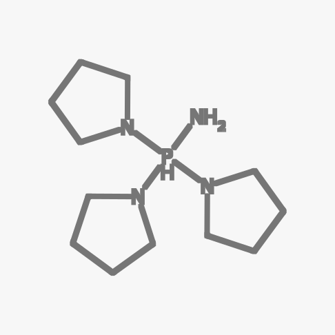 N[PH](N1CCCC1)(N1CCCC1)N1CCCC1